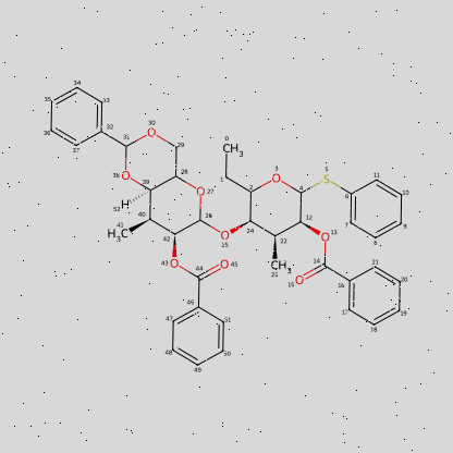 CCC1OC(Sc2ccccc2)[C@@H](OC(=O)c2ccccc2)[C@@H](C)[C@H]1OC1OC2COC(c3ccccc3)O[C@@H]2[C@H](C)[C@@H]1OC(=O)c1ccccc1